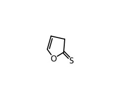 S=C1CC=CO1